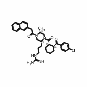 C[C@@H]1CN(C(=O)[C@@H]2CCCC[C@@H]2C(=O)c2ccc(Cl)cc2)[C@@H](CCCNC(=N)N)CN1C(=O)Cc1ccc2ccccc2c1